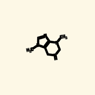 CN1CNCc2c1ncn2C